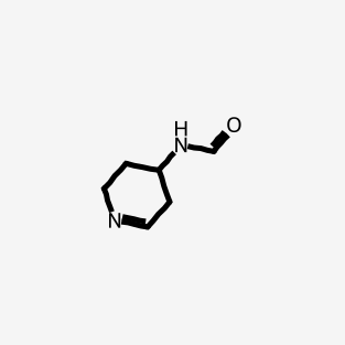 O=CNC1CC=NCC1